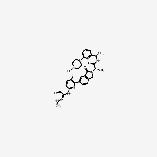 CN/N=C(\C=N)Nc1ncc(Cl)c(-c2ccc3c(c2)C(=O)N([C@H](C)C(=O)N[C@H](C)c2cccc(N4CCN(C)CC4)n2)C3)n1